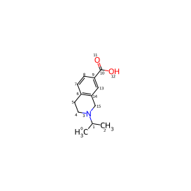 CC(C)N1CCc2ccc(C(=O)O)cc2C1